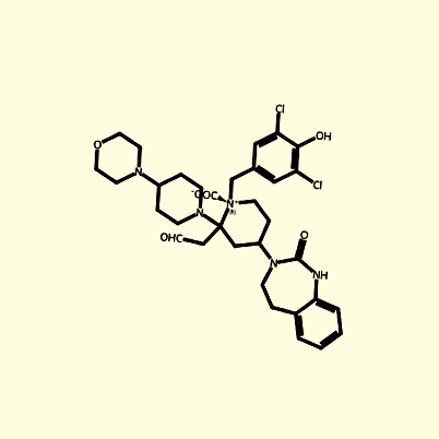 O=CCC1(N2CCC(N3CCOCC3)CC2)CC(N2CCc3ccccc3NC2=O)CC[N@+]1(Cc1cc(Cl)c(O)c(Cl)c1)C(=O)[O-]